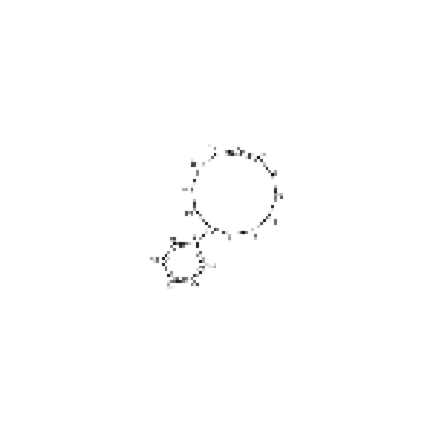 C1=CCCCCCC(c2ccccc2)CCCC=1